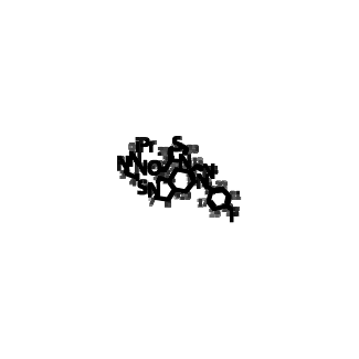 CC(C)n1ncc(SN2CCC3Cc4c(cnn4-c4ccc(F)cc4)C[C@]3(C(=O)c3cscn3)C2)n1